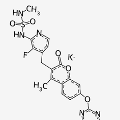 CNS(=O)(=O)Nc1nccc(Cc2c(C)c3ccc(Oc4ncccn4)cc3oc2=O)c1F.[K]